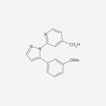 COc1cccc(-c2ccnn2-c2cc(C(=O)O)ccn2)c1